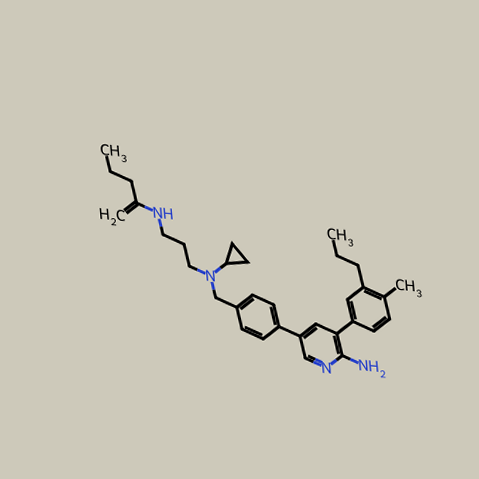 C=C(CCC)NCCCN(Cc1ccc(-c2cnc(N)c(-c3ccc(C)c(CCC)c3)c2)cc1)C1CC1